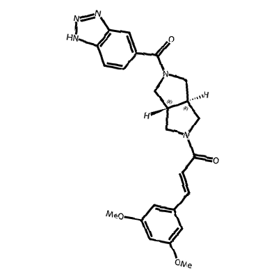 COc1cc(C=CC(=O)N2C[C@@H]3CN(C(=O)c4ccc5[nH]nnc5c4)C[C@H]3C2)cc(OC)c1